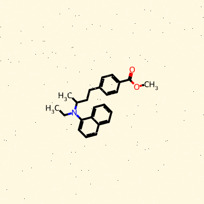 CCN(c1cccc2ccccc12)C(C)CCc1ccc(C(=O)OC)cc1